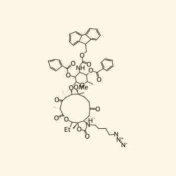 CCC1OC(=O)[C@H](C)C(=O)[C@H](C)[C@@H](OC2OC(C)C(OC(=O)c3ccccc3)C(NC(=O)OCC3c4ccccc4-c4ccccc43)C2OC(=O)c2ccccc2)[C@@](C)(OC)CCC(=O)[C@H](C)[C@H]2N(CCCCN=[N+]=[N-])C(=O)O[C@]12C